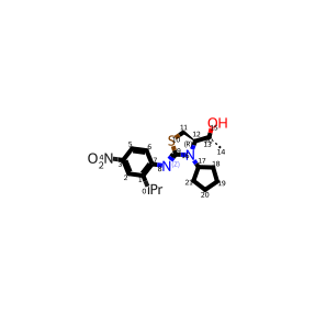 CC(C)c1cc([N+](=O)[O-])ccc1/N=C1\SC[C@@H]([C@@H](C)O)N1C1CCCC1